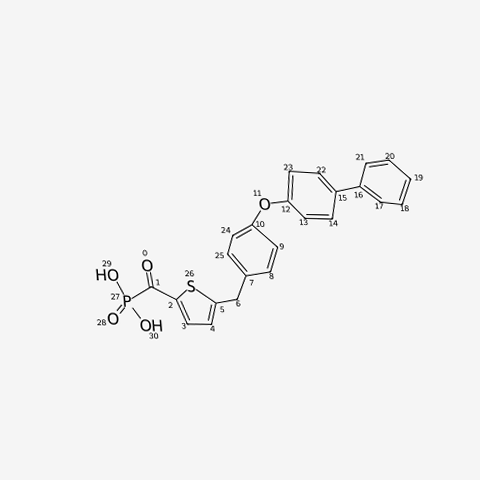 O=C(c1ccc(Cc2ccc(Oc3ccc(-c4ccccc4)cc3)cc2)s1)P(=O)(O)O